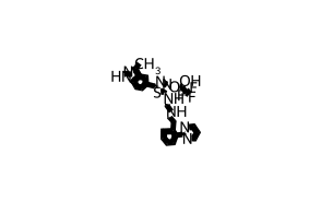 Cc1n[nH]c2ccc(-c3nnc(NCNCCc4ccccc4-c4ncccn4)s3)cc12.O=C(O)C(F)(F)F